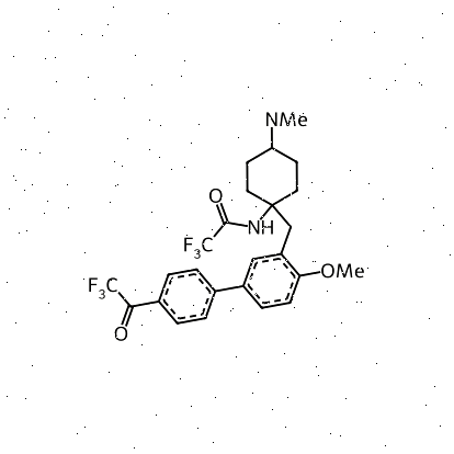 CNC1CCC(Cc2cc(-c3ccc(C(=O)C(F)(F)F)cc3)ccc2OC)(NC(=O)C(F)(F)F)CC1